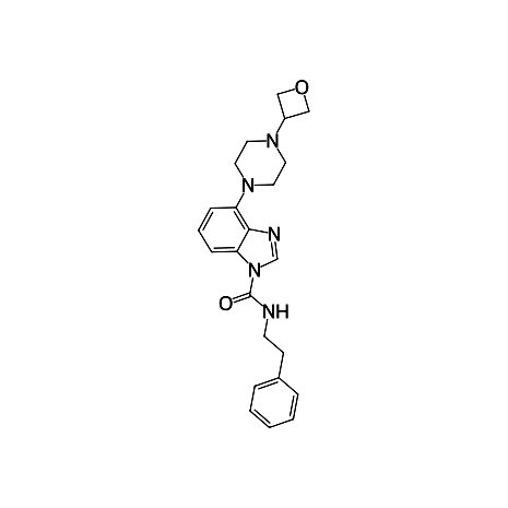 O=C(NCCc1ccccc1)n1cnc2c(N3CCN(C4COC4)CC3)cccc21